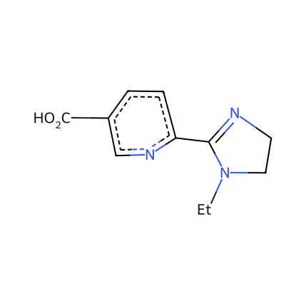 CCN1CCN=C1c1ccc(C(=O)O)cn1